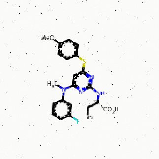 COc1ccc(Sc2cc(N(C)c3cccc(F)c3)nc(N[C@@H](CC(C)C)C(=O)O)n2)cc1